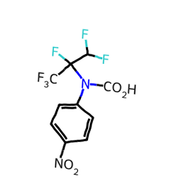 O=C(O)N(c1ccc([N+](=O)[O-])cc1)C(F)(C(F)F)C(F)(F)F